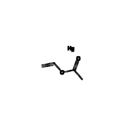 C=COC(C)=O.[Hg]